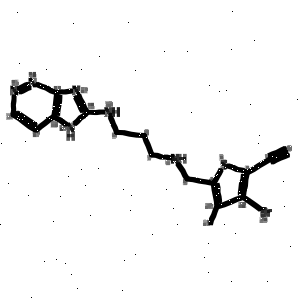 C#Cc1sc(CNCCCNc2nc3nnccc3[nH]2)c(C)c1Br